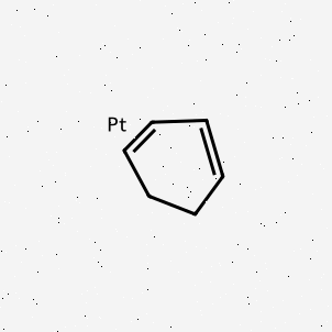 C1=CCCC=C1.[Pt]